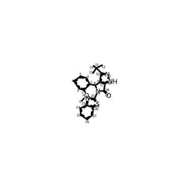 COc1ccccc1C1c2c(C(C)(C)C)n[nH]c2C(=O)N1c1nc2ccccc2s1